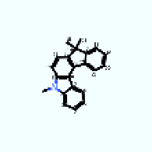 Cn1c2ccccc2c2c3c(ccc21)C(C)(C)c1ccccc1-3